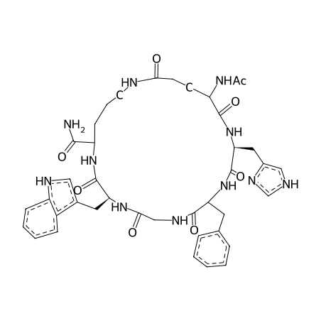 CC(=O)NC1CCC(=O)NCCCC(C(N)=O)NC(=O)[C@H](Cc2c[nH]c3ccccc23)NC(=O)CNC(=O)C(Cc2ccccc2)NC(=O)[C@H](Cc2c[nH]cn2)NC1=O